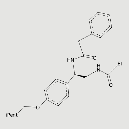 CCCC(C)COc1ccc([C@H](CNC(=O)CC)NC(=O)Cc2ccccc2)cc1